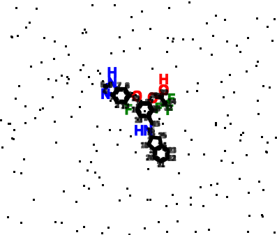 Fc1cc2nc[nH]c2cc1Oc1ccc(CNC2Cc3ccccc3C2)cc1.O=C(O)C(F)(F)F